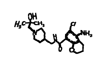 CC(C)(O)CN1CCC(CNC(=O)c2cc(Cl)c(N)c3c2OCCC3)CC1